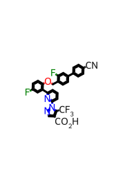 N#Cc1ccc(-c2ccc(COc3ccc(F)cc3-c3cccc(-n4ncc(C(=O)O)c4C(F)(F)F)n3)c(F)c2)cc1